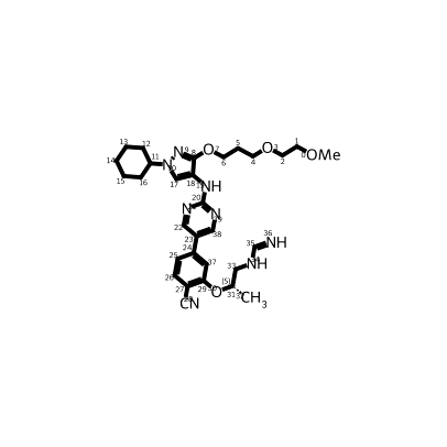 COCCOCCCOc1nn(C2CCCCC2)cc1Nc1ncc(-c2ccc(C#N)c(O[C@@H](C)CNC=N)c2)cn1